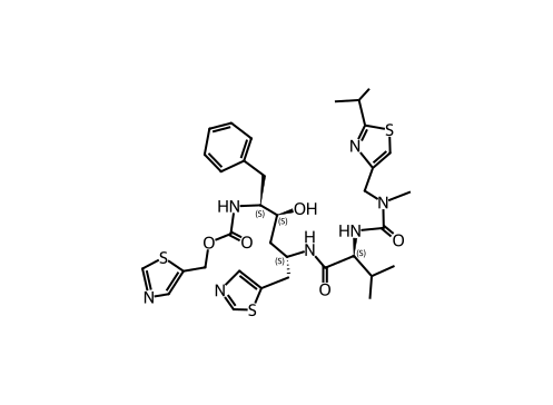 CC(C)c1nc(CN(C)C(=O)N[C@H](C(=O)N[C@H](Cc2cncs2)C[C@H](O)[C@H](Cc2ccccc2)NC(=O)OCc2cncs2)C(C)C)cs1